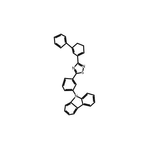 C1=C(c2ccccc2)CCC=C1c1nsc(-c2cccc(-n3c4ccccc4c4ccccc43)c2)n1